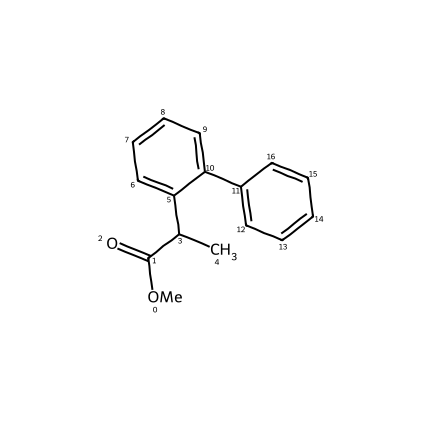 COC(=O)C(C)c1ccccc1-c1ccccc1